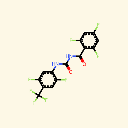 O=C(NC(=O)c1c(F)cc(F)cc1F)Nc1cc(F)c(C(F)(F)F)cc1F